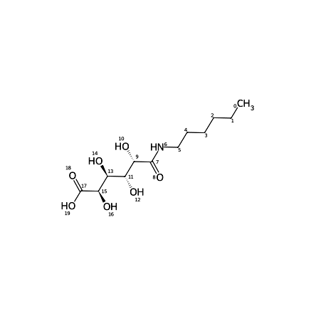 CCCCCCNC(=O)[C@@H](O)[C@H](O)[C@H](O)[C@@H](O)C(=O)O